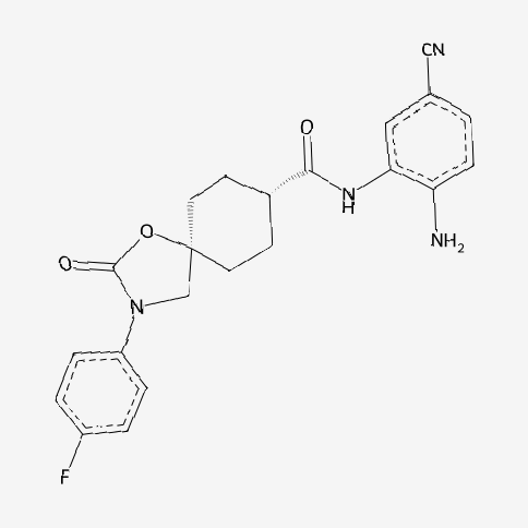 N#Cc1ccc(N)c(NC(=O)[C@H]2CC[C@]3(CC2)CN(c2ccc(F)cc2)C(=O)O3)c1